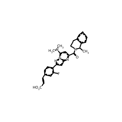 CC1c2ccccc2CCN1C(=O)c1cc(N(C)C)n2nc(-c3ccc(/C=C/C(=O)O)cc3F)cc2n1